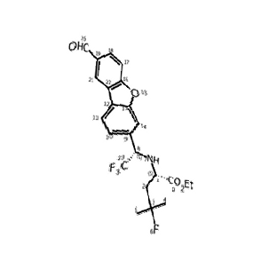 CCOC(=O)[C@H](CC(C)(C)F)N[C@@H](c1ccc2c(c1)oc1ccc(C=O)cc12)C(F)(F)F